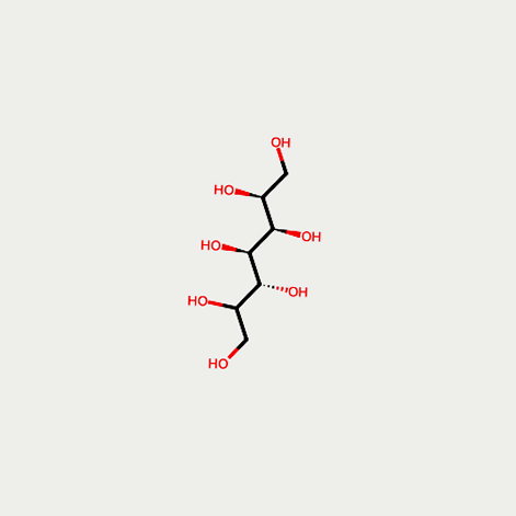 OCC(O)[C@@H](O)[C@@H](O)[C@H](O)[C@@H](O)CO